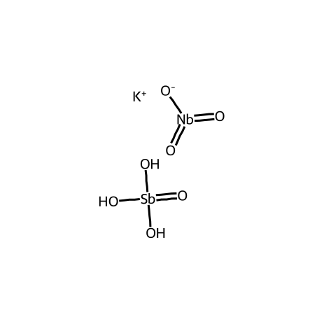 [K+].[O]=[Nb](=[O])[O-].[O]=[Sb]([OH])([OH])[OH]